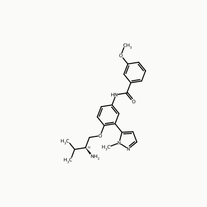 COc1cccc(C(=O)Nc2ccc(OC[C@@H](N)C(C)C)c(-c3ccnn3C)c2)c1